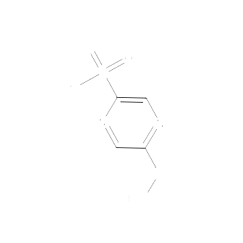 COc1cnc(S(=O)(=O)Cl)cn1